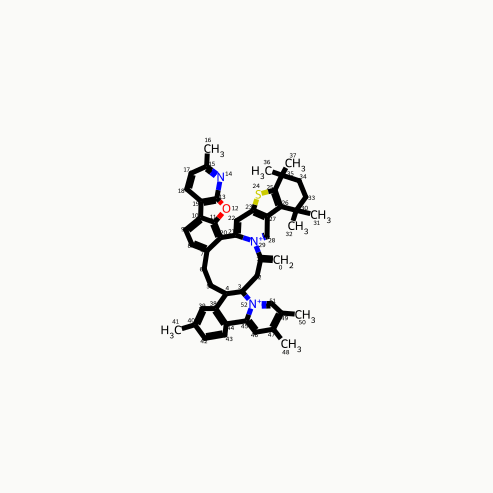 C=C1CC2C(CCc3ccc4c(oc5nc(C)ccc54)c3-c3cc4sc5c(c4c[n+]31)C(C)(C)CCC5(C)C)c1cc(C)ccc1-c1cc(C)c(C)c[n+]12